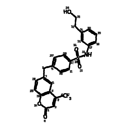 O=c1cc(C(F)(F)F)c2cc(Cc3ccc(S(=O)(=O)Nc4cccc(CCO)c4)cc3)ccc2o1